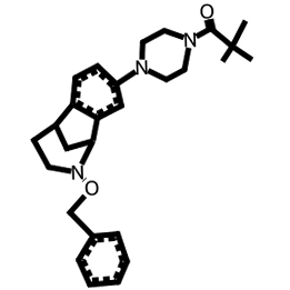 CC(C)(C)C(=O)N1CCN(c2ccc3c(c2)C2CC3CCN2OCc2ccccc2)CC1